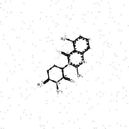 C=C1CCC(n2c(C)nc3cccc(N)c3c2=O)C(=O)N1C